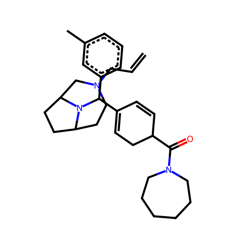 C=CCN1CCC2CCC(C1)N2C(C1=CCC(C(=O)N2CCCCCC2)C=C1)c1cccc(C)c1